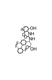 Cn1ccc(O)c(NC(=O)NC(CC(=O)O)c2ccc(F)c(-c3c(F)cccc3F)c2)c1=O